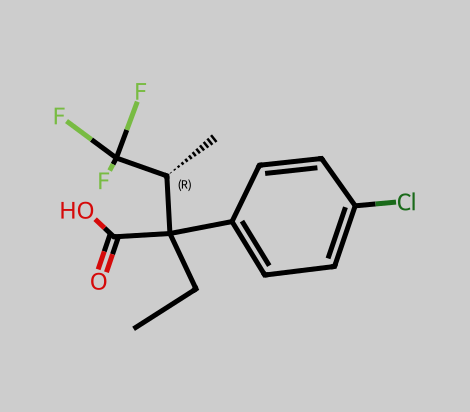 CCC(C(=O)O)(c1ccc(Cl)cc1)[C@@H](C)C(F)(F)F